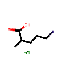 CC(CCCI)C(=O)O.Cl